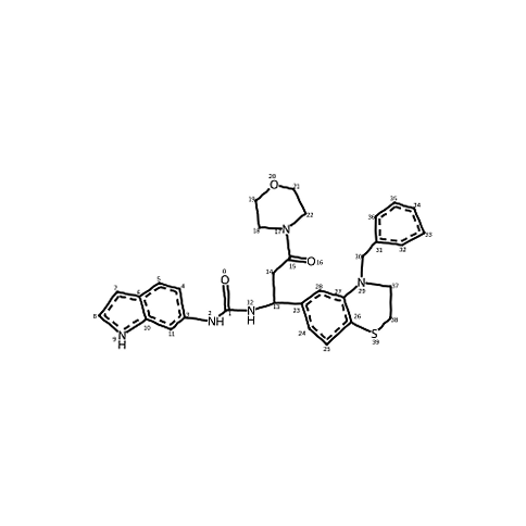 O=C(Nc1ccc2cc[nH]c2c1)NC(CC(=O)N1CCOCC1)c1ccc2c(c1)N(Cc1ccccc1)CCS2